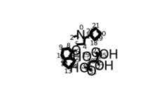 CN(C)C(CCOc1cccc2ccccc12)c1ccccc1.O=C(O)C(O)C(O)C(=O)O